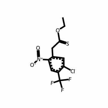 CCOC(=S)Cc1cc(Cl)c(C(F)(F)F)cc1[N+](=O)[O-]